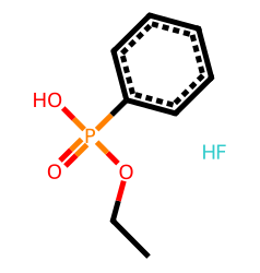 CCOP(=O)(O)c1ccccc1.F